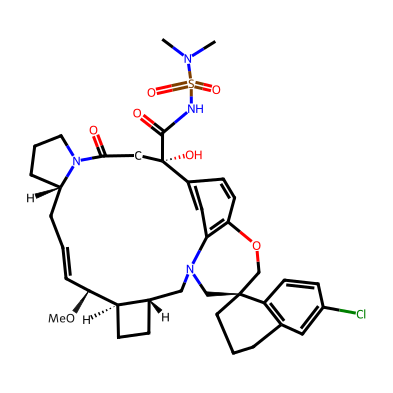 CO[C@H]1/C=C/C[C@@H]2CCCN2C(=O)C[C@@](O)(C(=O)NS(=O)(=O)N(C)C)c2ccc3c(c2)N(C[C@@H]2CC[C@H]21)C[C@@]1(CCCc2cc(Cl)ccc21)CO3